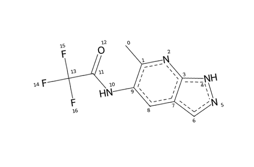 Cc1nc2[nH]ncc2cc1NC(=O)C(F)(F)F